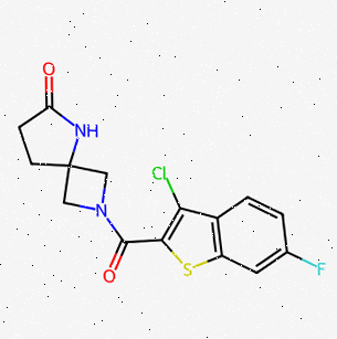 O=C1CCC2(CN(C(=O)c3sc4cc(F)ccc4c3Cl)C2)N1